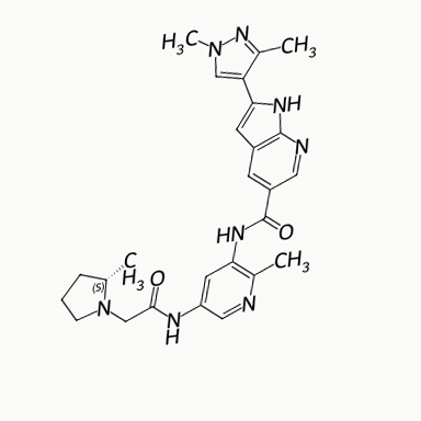 Cc1ncc(NC(=O)CN2CCC[C@@H]2C)cc1NC(=O)c1cnc2[nH]c(-c3cn(C)nc3C)cc2c1